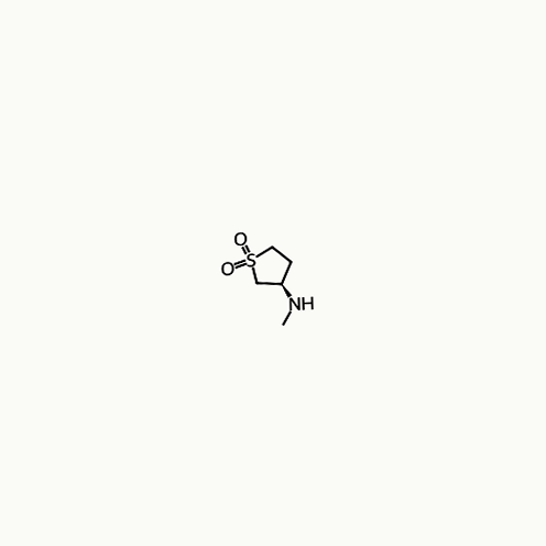 CN[C@@H]1CCS(=O)(=O)C1